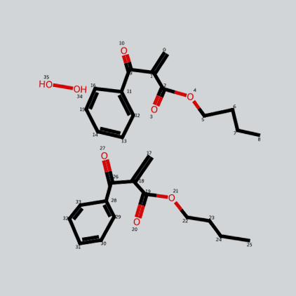 C=C(C(=O)OCCCC)C(=O)c1ccccc1.C=C(C(=O)OCCCC)C(=O)c1ccccc1.OO